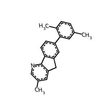 Cc1cnc2c(c1)Cc1cc(-c3cc(C)ccc3C)ccc1-2